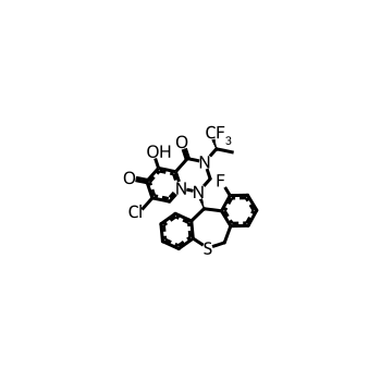 C[C@@H](N1CN([C@@H]2c3ccccc3SCc3cccc(F)c32)n2cc(Cl)c(=O)c(O)c2C1=O)C(F)(F)F